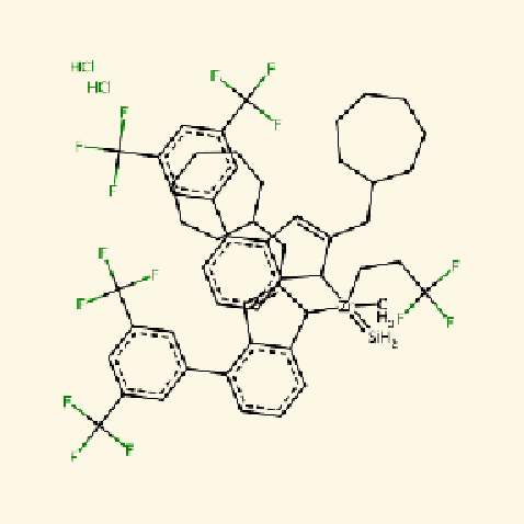 Cl.Cl.[CH3][Zr](=[SiH2])([CH2]CC(F)(F)F)([CH]1C(CC2CCCCCC2)=Cc2c(-c3cc(C(F)(F)F)cc(C(F)(F)F)c3)cccc21)[CH]1C(CC2CCCCCC2)=Cc2c(-c3cc(C(F)(F)F)cc(C(F)(F)F)c3)cccc21